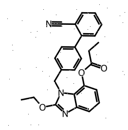 CCOc1nc2cccc(OC(=O)CC)c2n1Cc1ccc(-c2ccccc2C#N)cc1